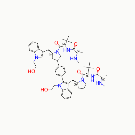 CN[C@@H](C)C(=O)N[C@H](C(=O)N1CCC[C@H]1Cc1c(-c2ccc(C3C[C@@H](Cc4cn(CCO)c5ccccc45)N(C(=O)[C@@H](NC(=O)[C@H](C)NC)C(C)(C)C)C3)cc2)n(CCO)c2ccccc12)C(C)(C)C